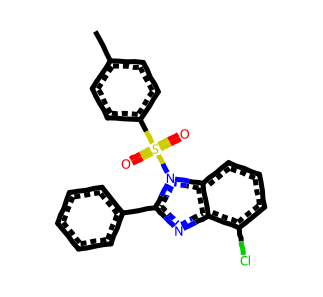 Cc1ccc(S(=O)(=O)n2c(-c3ccccc3)nc3c(Cl)cccc32)cc1